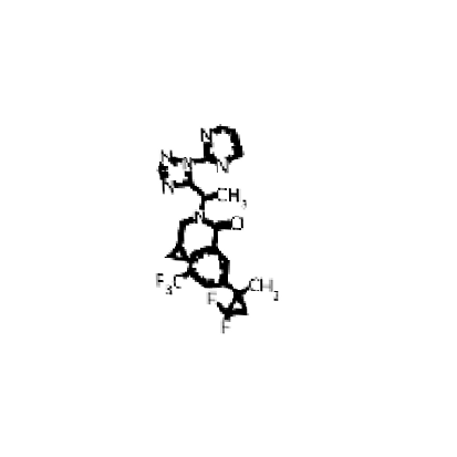 CC(c1ncnn1-c1ncccn1)N(CC1CC1)C(=O)c1cc(C(F)(F)F)cc(C2(C)CC2(F)F)c1